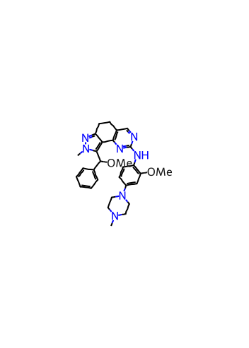 COc1cc(N2CCN(C)CC2)ccc1Nc1ncc2c(n1)-c1c(nn(C)c1C(OC)c1ccccc1)CC2